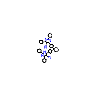 N#Cc1c(-c2ccccc2)nc(C2=CCCC=C2)nc1-c1ccc(C2(c3ccc(-c4nc(-c5ccccc5)nc(-c5ccccc5)c4C#N)cc3)CCCCC2)cc1